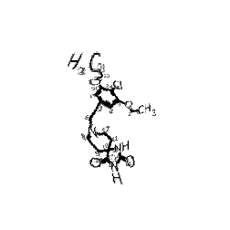 CCOc1cc(CN2CCC3(CC2)NC(=O)NC3=O)cc(OCC)c1Cl